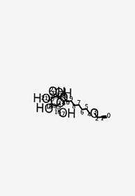 C#CCOCCCCCCCO[C@@]1(O)O[C@H](CO)[C@@H](O)[C@H](O)[C@H]1O